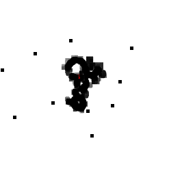 Cc1ccccc1CN1CCN(C2C(Br)C(=O)NNC23CCCCCCCCC3)CC1=O